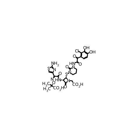 CC(C)(O/N=C(\C(=O)N[C@@H]1C(=O)N(CC(=O)O)[C@@H]1SN1CCCN(NC(=O)C(=O)c2ccc(O)c(O)c2Cl)C1=O)c1csc(N)n1)C(=O)O